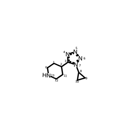 C1CC(c2nnnn2C2CC2)CCN1